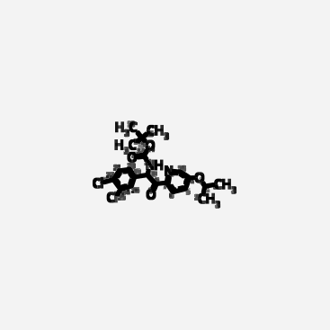 CC(C)Oc1ccc(C(=O)C(NC(=O)OC(C)(C)C)c2ccc(Cl)c(Cl)c2)nc1